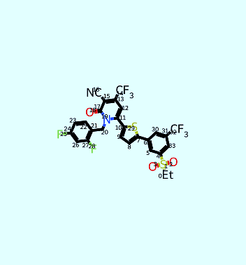 CCS(=O)(=O)c1cc(-c2ccc(-c3cc(C(F)(F)F)c(C#N)c(=O)n3Cc3ccc(F)cc3F)s2)cc(C(F)(F)F)c1